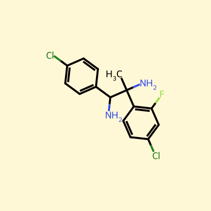 CC(N)(c1ccc(Cl)cc1F)C(N)c1ccc(Cl)cc1